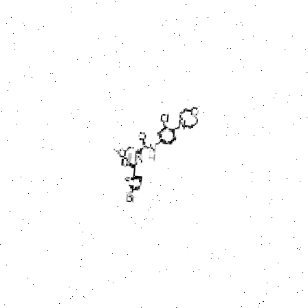 COC[C@@H](NC(=O)c1ccc(Br)s1)C(=O)Nc1ccc(N2CCOCC2)c(Cl)c1